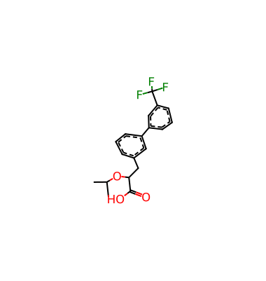 CC(C)OC(Cc1cccc(-c2cccc(C(F)(F)F)c2)c1)C(=O)O